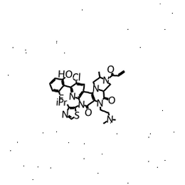 C=CC(=O)N1CC2C(=O)N(CCN(C)C)c3c(c4cc(Cl)c(-c5c(O)cccc5F)nc4n(-c4scnc4C(C)C)c3=O)N2CC1C